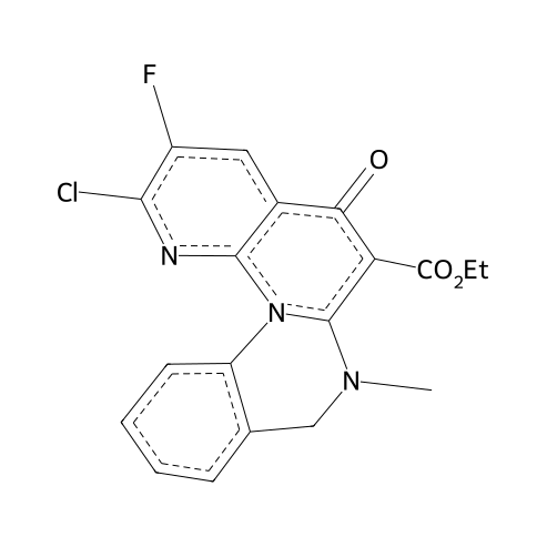 CCOC(=O)c1c2n(c3nc(Cl)c(F)cc3c1=O)-c1ccccc1CN2C